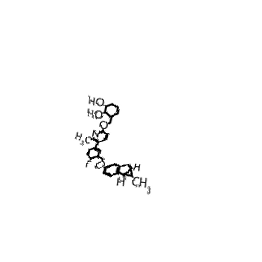 Cc1nc(OCC2CCC[C@H](O)[C@@H]2O)ccc1-c1ccc(F)c(COc2ccc3c(c2)C[C@H]2[C@H](C)[C@@H]32)c1